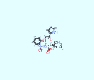 CC(C)(C)OC=O.O=C(COc1ccccc1[N+](=O)[O-])[C@H]1CCCN1